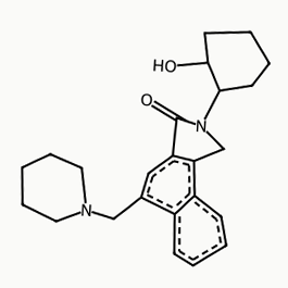 O=C1c2cc(CN3CCCCC3)c3ccccc3c2CN1C1CCCCC1O